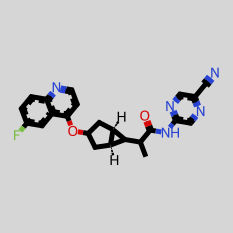 CC(C(=O)Nc1cnc(C#N)cn1)C1[C@H]2CC(Oc3ccnc4ccc(F)cc34)C[C@@H]12